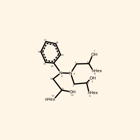 CCCCCCC(O)CN(CC(O)CCCCCC)N(CC(O)CCCCCC)c1ccccc1